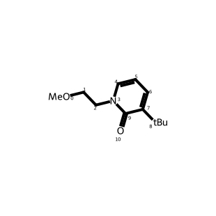 COCCn1cccc(C(C)(C)C)c1=O